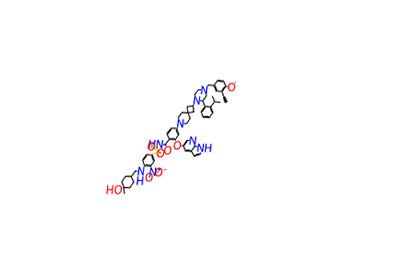 C#Cc1cc(CN2CCN(C3CC4(CCN(c5ccc(C(=O)NS(=O)(=O)c6ccc(NCC7CCC(C)(O)CC7)c([N+](=O)[O-])c6)c(Oc6cnc7[nH]ccc7c6)c5)CC4)C3)C(c3ccccc3C(C)C)C2)ccc1OC